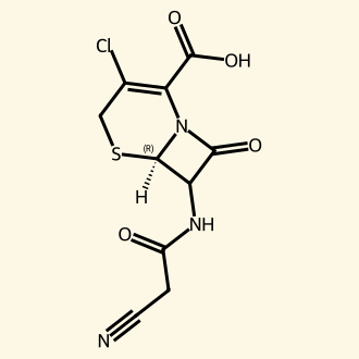 N#CCC(=O)NC1C(=O)N2C(C(=O)O)=C(Cl)CS[C@H]12